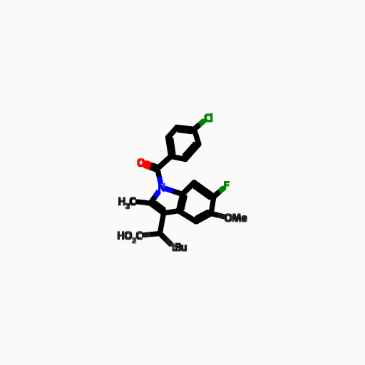 COc1cc2c(C(C(=O)O)C(C)(C)C)c(C)n(C(=O)c3ccc(Cl)cc3)c2cc1F